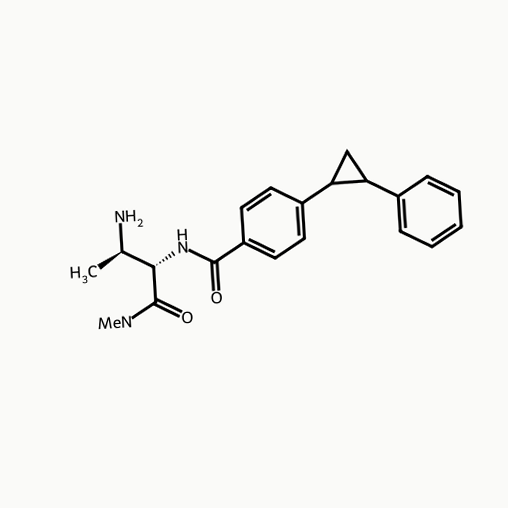 CNC(=O)[C@@H](NC(=O)c1ccc(C2CC2c2ccccc2)cc1)[C@@H](C)N